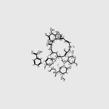 CN[C@H]1[C@H](C)O[C@@H](O[C@H]2[C@H](C)O[C@@H](O[C@@H]3/C(C)=C/C[C@@H]4C[C@@H](C[C@]5(C=C[C@H](C)[C@@H](C(C)C)O5)O4)OC(=O)[C@@H]4C=C(C)[C@@H](O)[C@H]5OC/C(=C\C=C\[C@@H]3C)[C@]54O)C[C@@H]2OC)C[C@@H]1OC.O=C(O)c1ccccc1